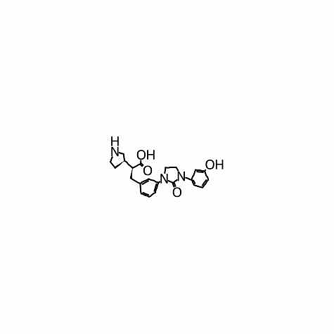 O=C(O)[C@@H](Cc1cccc(N2CCN(c3cccc(O)c3)C2=O)c1)[C@H]1CCNC1